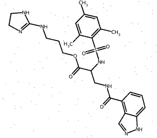 Cc1cc(C)c(S(=O)(=O)NC(CNC(=O)c2cccc3[nH]ncc23)C(=O)OCCCNC2=NCCN2)c(C)c1